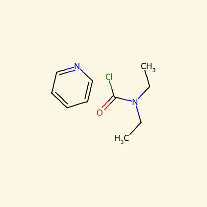 CCN(CC)C(=O)Cl.c1ccncc1